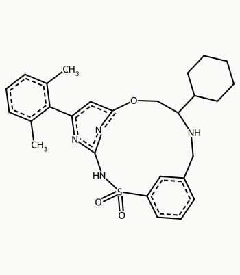 Cc1cccc(C)c1-c1cc2nc(n1)NS(=O)(=O)c1cccc(c1)CNC(C1CCCCC1)CO2